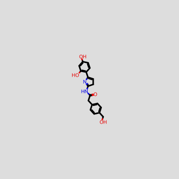 O=C(Cc1ccc(CO)cc1)NC1=NC(c2ccc(O)cc2O)=CC1